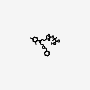 Cc1ccc(N(CCOCc2ccccc2)CCc2csc(SC(C)(C)C(=O)O)n2)c(C)c1